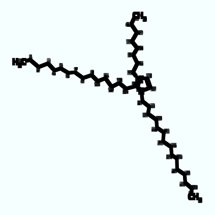 CCCCCCCCCCCCCCCc1n(CCCCCCCCCCCCCCC)cc[n+]1CCCCCCCC